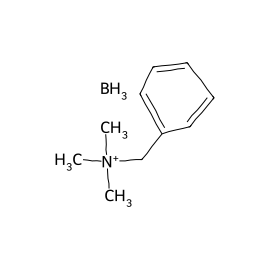 B.C[N+](C)(C)Cc1ccccc1